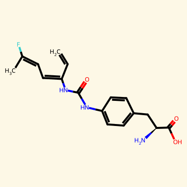 C=C/C(=C\C=C(/C)F)NC(=O)Nc1ccc(C[C@H](N)C(=O)O)cc1